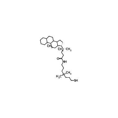 C[C@H](CCC(=O)NCCC[N+](C)(C)CCCS)[C@H]1CCC2C3CCC4CCCC[C@]4(C)C3CC[C@@]21C